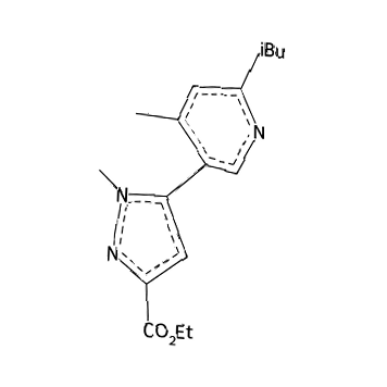 CCOC(=O)c1cc(-c2cnc(C(C)CC)cc2C)n(C)n1